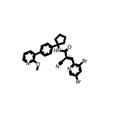 COc1ncccc1-c1ccc(C2(NC(=O)/C(C#N)=C/c3ncc(Br)cc3Br)CCCC2)cc1